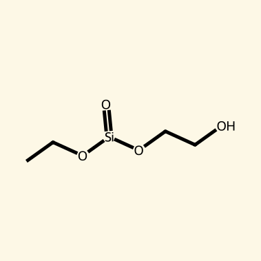 CCO[Si](=O)OCCO